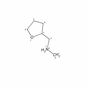 [CH2-][NH2+]CC1CCCO1